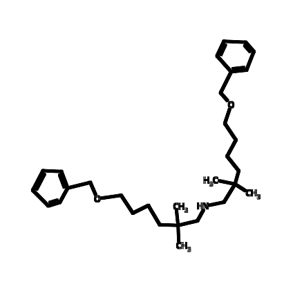 CC(C)(CCCCOCc1ccccc1)CNCC(C)(C)CCCCOCc1ccccc1